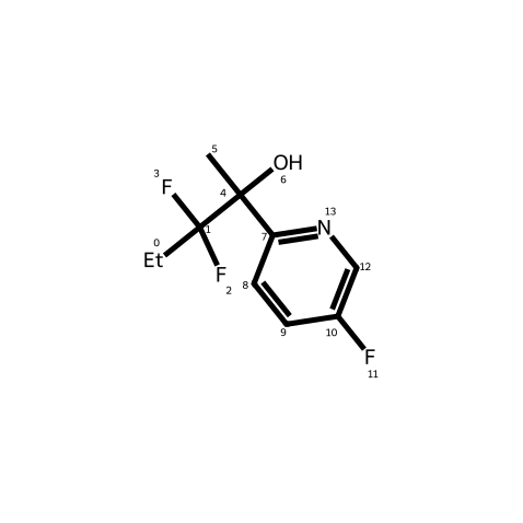 CCC(F)(F)C(C)(O)c1ccc(F)cn1